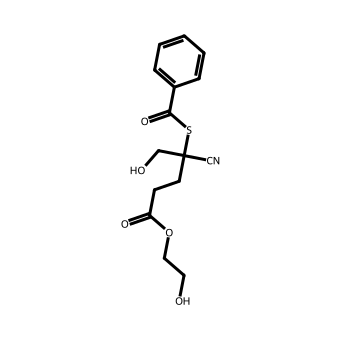 N#CC(CO)(CCC(=O)OCCO)SC(=O)c1ccccc1